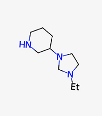 CCN1CCN(C2CCCNC2)C1